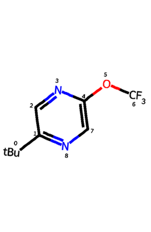 CC(C)(C)c1cnc(OC(F)(F)F)cn1